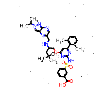 Cc1cccc(C)c1-c1cc(OCC(CC(C)(C)C)NCc2cnc3nn(C(C)C)cc3n2)nc(NS(=O)(=O)c2cccc(C(=O)O)c2)n1